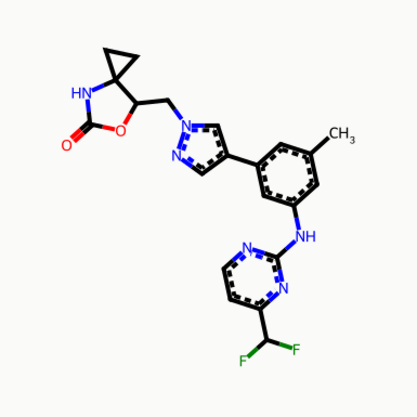 Cc1cc(Nc2nccc(C(F)F)n2)cc(-c2cnn(CC3OC(=O)NC34CC4)c2)c1